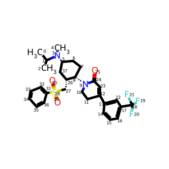 CC(C)N(C)[C@@H]1CC[C@H](N2CCC(c3cccc(C(F)(F)F)c3)=CC2=O)[C@H](CS(=O)(=O)c2ccccc2)C1